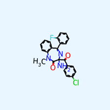 CN1C(=O)C(N)(C(=O)c2ccc(Cl)cc2)N=C(c2ccccc2F)c2ccccc21